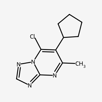 Cc1nc2ncnn2c(Cl)c1C1CCCC1